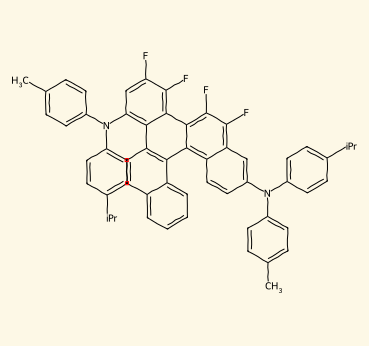 Cc1ccc(N(c2ccc(C(C)C)cc2)c2ccc3c(c2)c(F)c(F)c2c4c(F)c(F)cc(N(c5ccc(C)cc5)c5ccc(C(C)C)cc5)c4c4ccc5ccccc5c4c32)cc1